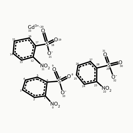 O=[N+]([O-])c1ccccc1S(=O)(=O)[O-].O=[N+]([O-])c1ccccc1S(=O)(=O)[O-].O=[N+]([O-])c1ccccc1S(=O)(=O)[O-].[Gd+3]